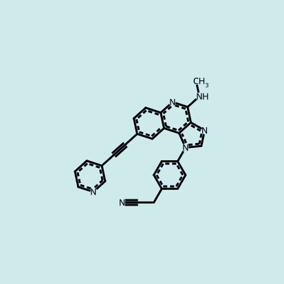 CNc1nc2ccc(C#Cc3cccnc3)cc2c2c1ncn2-c1ccc(CC#N)cc1